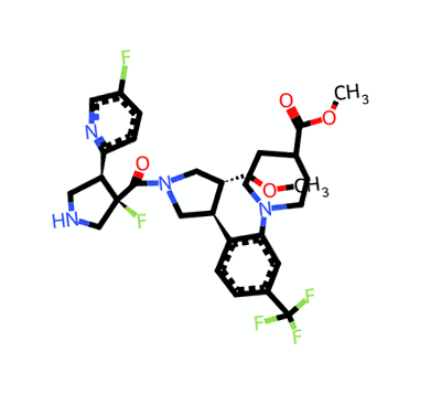 COC[C@H]1CN(C(=O)[C@]2(F)CNC[C@H]2c2ccc(F)cn2)C[C@@H]1c1ccc(C(F)(F)F)cc1N1CCC(C(=O)OC)CC1